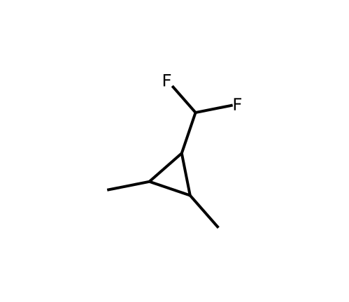 CC1C(C)C1C(F)F